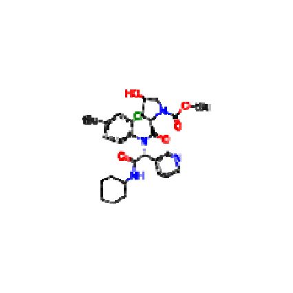 CC(C)(C)OC(=O)N1C[C@H](O)C[C@@H]1C(=O)N(c1ccc(C(C)(C)C)cc1Cl)[C@@H](C(=O)NC1CCCCC1)c1cccnc1